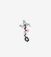 CC(C)(C)/C=C/C(=O)OCCc1ccccc1